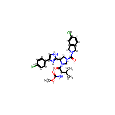 COC(=O)N[C@H](C(=O)N1CN(C(=O)N2Cc3ccc(Cl)cc3C2)CC1c1nc(-c2ccc(Br)cc2)c[nH]1)C(C)C